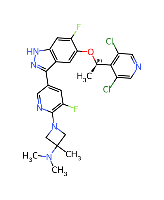 C[C@@H](Oc1cc2c(-c3cnc(N4CC(C)(N(C)C)C4)c(F)c3)n[nH]c2cc1F)c1c(Cl)cncc1Cl